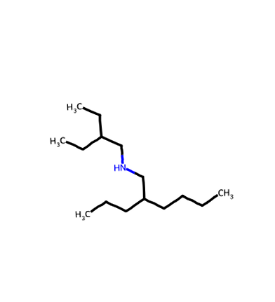 CCCCC(CCC)CNCC(CC)CC